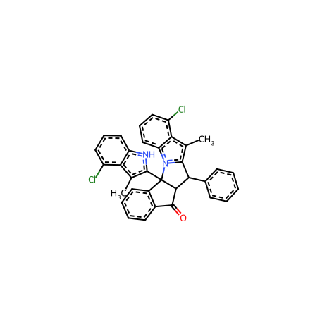 Cc1c(C23c4ccccc4C(=O)C2C(c2ccccc2)c2c(C)c4c(Cl)cccc4n23)[nH]c2cccc(Cl)c12